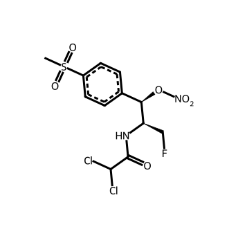 CS(=O)(=O)c1ccc([C@@H](O[N+](=O)[O-])[C@@H](CF)NC(=O)C(Cl)Cl)cc1